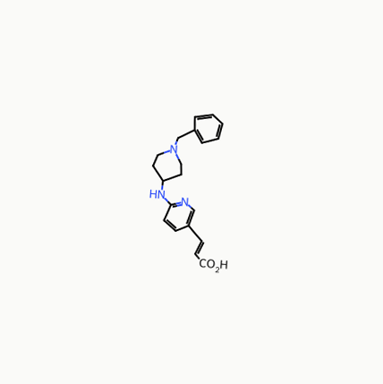 O=C(O)C=Cc1ccc(NC2CCN(Cc3ccccc3)CC2)nc1